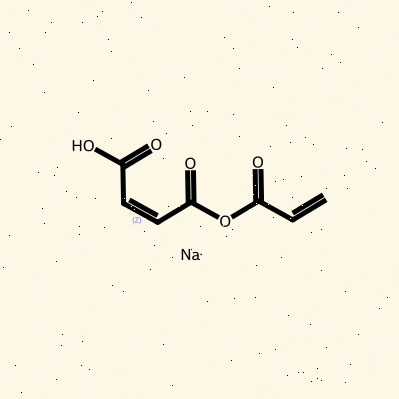 C=CC(=O)OC(=O)/C=C\C(=O)O.[Na]